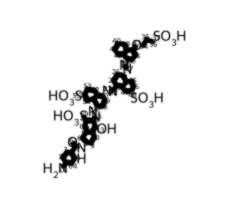 Nc1ccc(C(=O)Nc2ccc3c(O)c(N=Nc4ccc(N=Nc5ccc(N=Nc6ccc(OCCCS(=O)(=O)O)c7ccccc67)c6ccc(S(=O)(=O)O)cc56)c5ccc(S(=O)(=O)O)cc45)c(S(=O)(=O)O)cc3c2)cc1